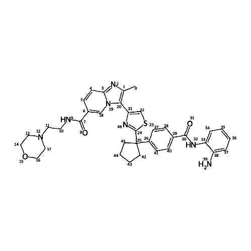 Cc1nc2ccc(C(=O)NCCN3CCOCC3)cn2c1-c1csc(C2(c3ccc(C(=O)Nc4ccccc4N)cc3)CCCC2)n1